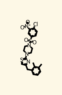 Cc1cccc(Cc2csc(N3CCN(S(=O)(=O)c4ccc(Cl)c([N+](=O)[O-])c4)CC3)n2)c1C